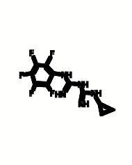 N=C(NC(=N)NC1CC1)Nc1c(F)c(F)c(F)c(F)c1F